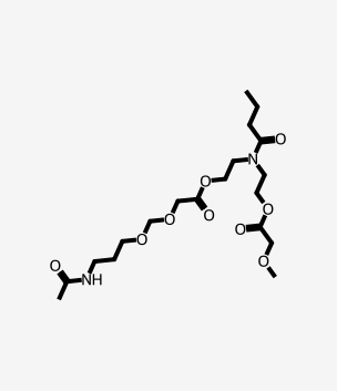 CCCC(=O)N(CCOC(=O)COC)CCOC(=O)COCOCCCNC(C)=O